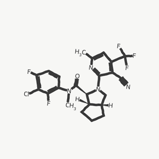 Cc1cc(C(F)(F)F)c(C#N)c(N2C[C@@H]3CCC[C@@H]3[C@H]2C(=O)N(C)c2ccc(F)c(Cl)c2F)n1